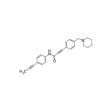 CC#Cc1ccc(NC(=O)C#Cc2ccc(CN3CCCCC3)cc2)cc1